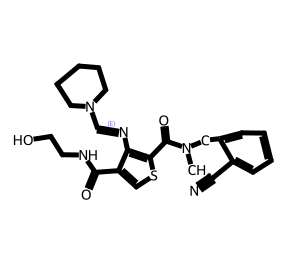 CN(Cc1ccccc1C#N)C(=O)c1scc(C(=O)NCCO)c1/N=C/N1CCCCC1